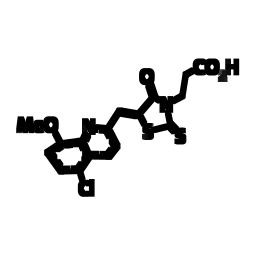 COc1ccc(Cl)c2ccc(/C=C3\SC(=S)N(CCC(=O)O)C3=O)nc12